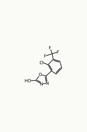 Oc1nnc(-c2cccc(C(F)(F)F)c2Cl)o1